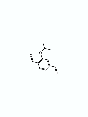 CC(C)Oc1cc(C=O)ccc1C=O